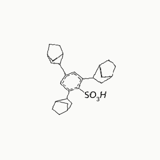 O=S(=O)(O)c1c(C2CC3CCC2C3)cc(C2CC3CCC2C3)cc1C1CC2CCC1C2